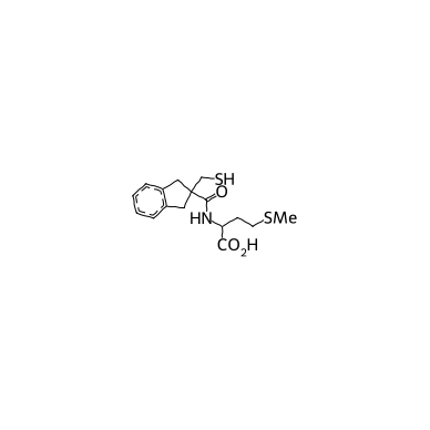 CSCCC(NC(=O)C1(CS)Cc2ccccc2C1)C(=O)O